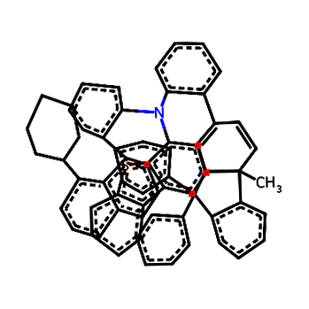 CC12C=CC(c3ccccc3N(c3ccccc3-c3cccc4cccc(C5CCCCC5)c34)c3cccc4c3sc3ccccc34)=CC1C(c1ccccc1)(c1ccccc1)c1ccccc12